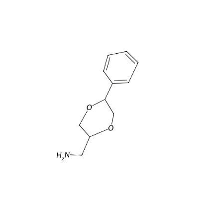 NCC1COC(c2ccccc2)CO1